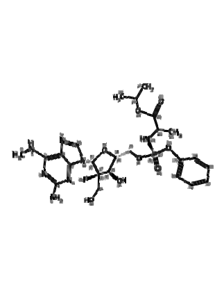 CNc1nc(N)nc2c1ncn2[C@@H]1O[C@H](CO[P@](=O)(NC(C)C(=O)OC(C)C)Oc2ccccc2)[C@@H](O)[C@]1(F)CO